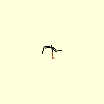 C/[CH]=[Ir](\[Br])=[CH]/C